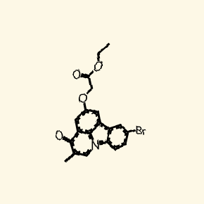 CCOC(=O)COc1cc2c(=O)c(C)cn3c4ccc(Br)cc4c(c1)c23